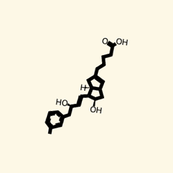 Cc1cccc(C[C@@H](O)/C=C/C2[C@H]3CC(CCCCC(=O)O)=CC3C[C@H]2O)c1